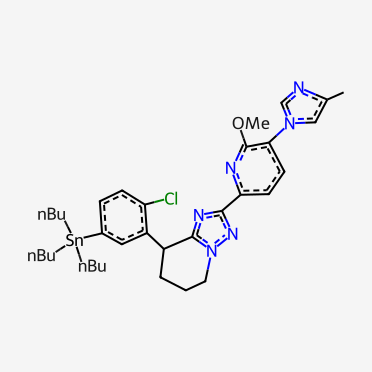 CCC[CH2][Sn]([CH2]CCC)([CH2]CCC)[c]1ccc(Cl)c(C2CCCn3nc(-c4ccc(-n5cnc(C)c5)c(OC)n4)nc32)c1